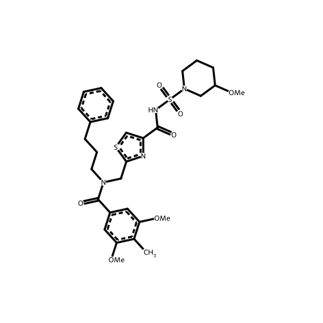 COc1cc(C(=O)N(CCCc2ccccc2)Cc2nc(C(=O)NS(=O)(=O)N3CCCC(OC)C3)cs2)cc(OC)c1C